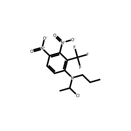 CCCN(c1ccc([N+](=O)[O-])c([N+](=O)[O-])c1C(F)(F)F)C(C)Cl